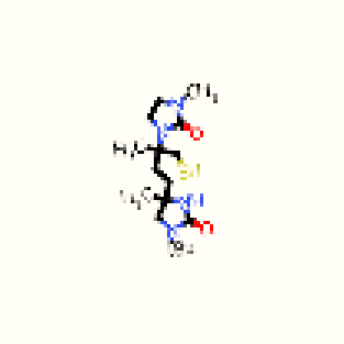 CN1CCN(C(C)(CS)CCC2(C)CN(C(C)(C)C)C(=O)N2)C1=O